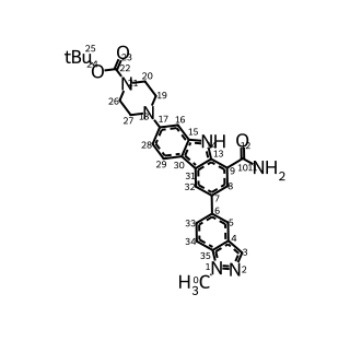 Cn1ncc2cc(-c3cc(C(N)=O)c4[nH]c5cc(N6CCN(C(=O)OC(C)(C)C)CC6)ccc5c4c3)ccc21